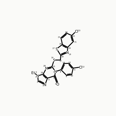 CCn1cnc2c(=O)n(-c3ccc(Cl)cc3)c(SCc3nc4cc(Cl)ccc4s3)nc21